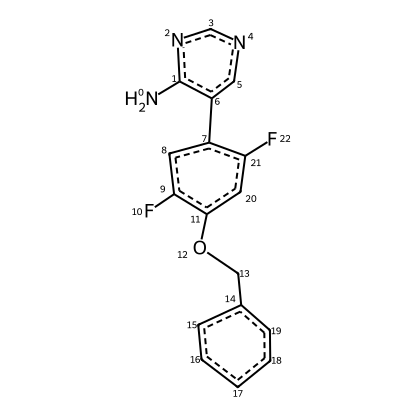 Nc1ncncc1-c1cc(F)c(OCc2ccccc2)cc1F